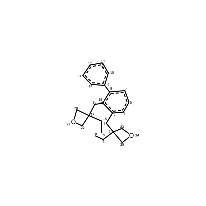 CCC1(Cc2cccc(-c3ccccc3)c2CC2(CC)COC2)COC1